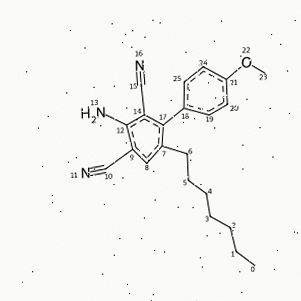 CCCCCCCc1cc(C#N)c(N)c(C#N)c1-c1ccc(OC)cc1